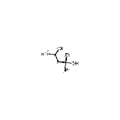 CCCC(O)CC(O)(CC)C(C)C